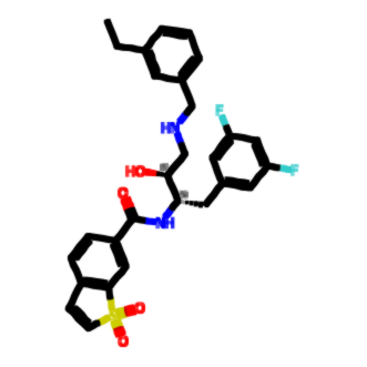 CCc1cccc(CNC[C@H](O)[C@H](Cc2cc(F)cc(F)c2)NC(=O)c2ccc3c(c2)S(=O)(=O)C=C3)c1